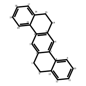 [C]1Cc2cc3c(cc2-c2ccccc21)CCc1ccccc1-3